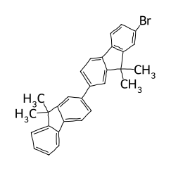 CC1(C)c2ccccc2-c2ccc(-c3ccc4c(c3)C(C)(C)c3cc(Br)ccc3-4)cc21